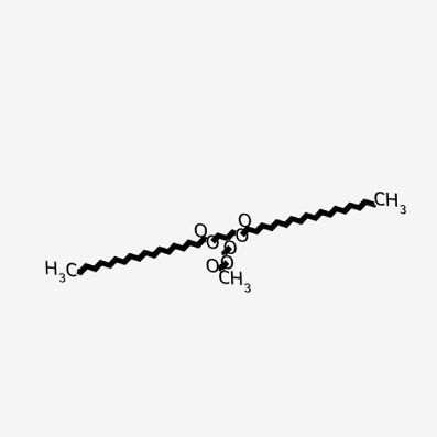 CCCCCCCCCCCCCCCCCCC(=O)OCC(COC(=O)CCCCCCCCCCCCCCCCCC)OCOC(C)=O